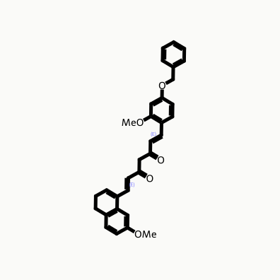 COc1ccc2c(c1)C(/C=C/C(=O)CC(=O)/C=C/c1ccc(OCc3ccccc3)cc1OC)=CCC2